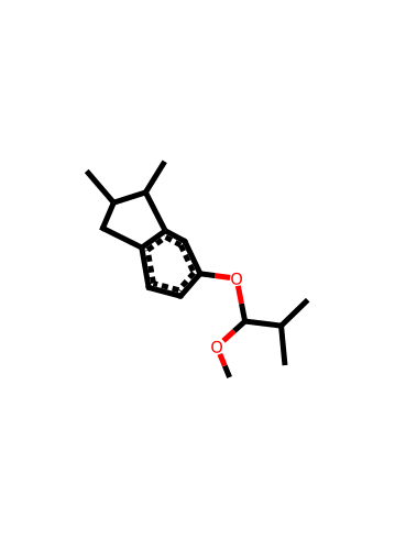 COC(Oc1ccc2c(c1)C(C)C(C)C2)C(C)C